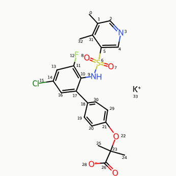 Cc1cncc(S(=O)(=O)Nc2c(F)cc(Cl)cc2-c2ccc(OC(C)(C)C(=O)[O-])cc2)c1C.[K+]